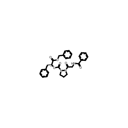 O=C(NCC(=O)N1CCCN1C(=O)O[C@@H](Cc1ccccc1)C(=O)OCc1ccccc1)c1ccccc1